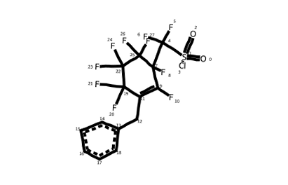 O=S(=O)(Cl)C(F)(F)C1(F)C(F)=C(Cc2ccccc2)C(F)(F)C(F)(F)C1(F)F